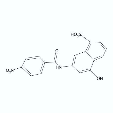 O=C(Nc1cc(O)c2cccc(S(=O)(=O)O)c2c1)c1ccc([N+](=O)[O-])cc1